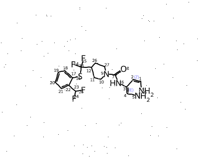 N/C=C\C(=C/N)NC(=O)N1CCC(C(F)(F)Sc2ccccc2C(F)F)CC1